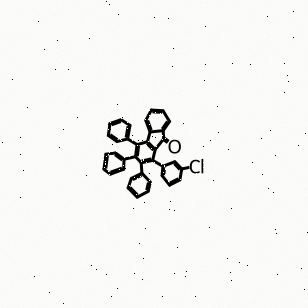 O=C1c2ccccc2-c2c1c(-c1cccc(Cl)c1)c(-c1ccccc1)c(-c1ccccc1)c2-c1ccccc1